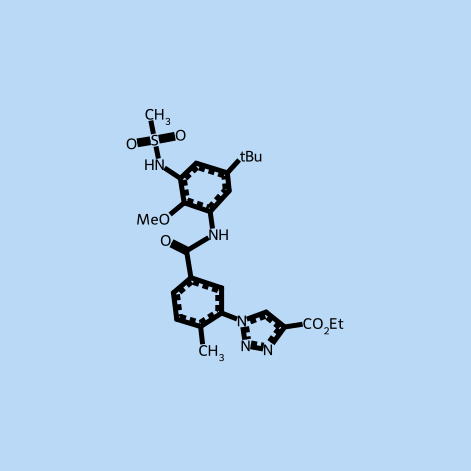 CCOC(=O)c1cn(-c2cc(C(=O)Nc3cc(C(C)(C)C)cc(NS(C)(=O)=O)c3OC)ccc2C)nn1